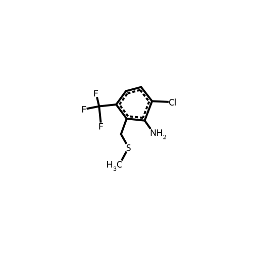 CSCc1c(C(F)(F)F)ccc(Cl)c1N